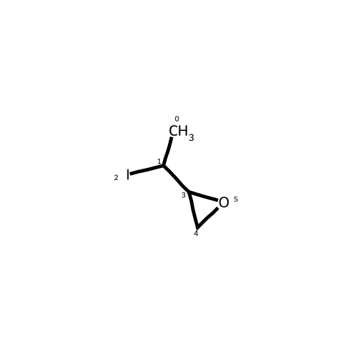 CC(I)C1CO1